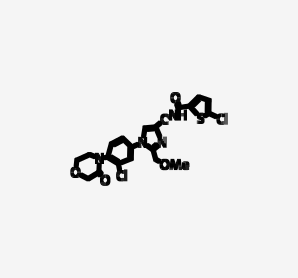 COCc1nc(CNC(=O)c2ccc(Cl)s2)cn1-c1ccc(N2CCOCC2=O)c(Cl)c1